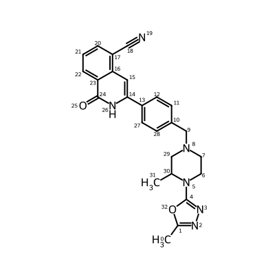 Cc1nnc(N2CCN(Cc3ccc(-c4cc5c(C#N)cccc5c(=O)[nH]4)cc3)CC2C)o1